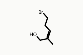 CC(=CCCBr)CO